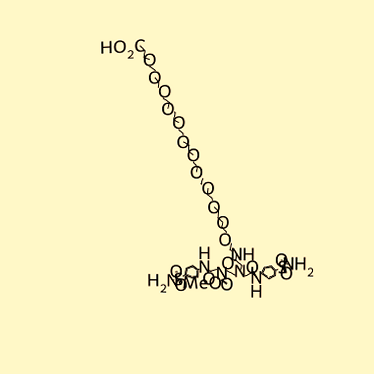 COC(=O)N(CCN(CC(=O)NCCOCCOCCOCCOCCOCCOCCOCCOCCOCCOCCOCCOCCC(=O)O)CC(=O)Nc1ccc(S(N)(=O)=O)cc1)CC(=O)Nc1ccc(S(N)(=O)=O)cc1